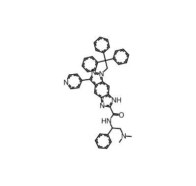 CN(C)CC(NC(=O)c1nc2cc3c(-c4ccncc4)nn(CC(c4ccccc4)(c4ccccc4)c4ccccc4)c3cc2[nH]1)c1ccccc1